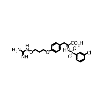 N=C(N)NOCCCOc1ccc(C[C@H](NS(=O)(=O)c2cccc(Cl)c2)C(=O)O)cc1